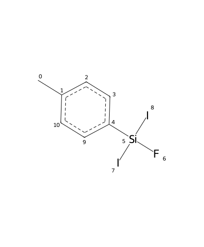 Cc1ccc([Si](F)(I)I)cc1